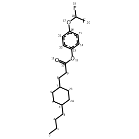 CCCCC1CCC(CCC(=O)Oc2ccc(OC(F)F)cc2)CC1